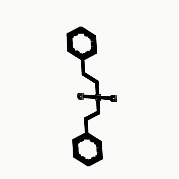 Cl[Si](Cl)(CCc1ccccc1)CCc1ccccc1